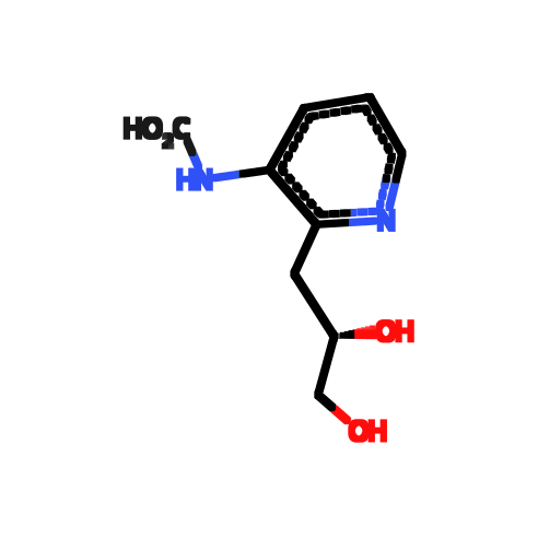 O=C(O)Nc1cccnc1C[C@H](O)CO